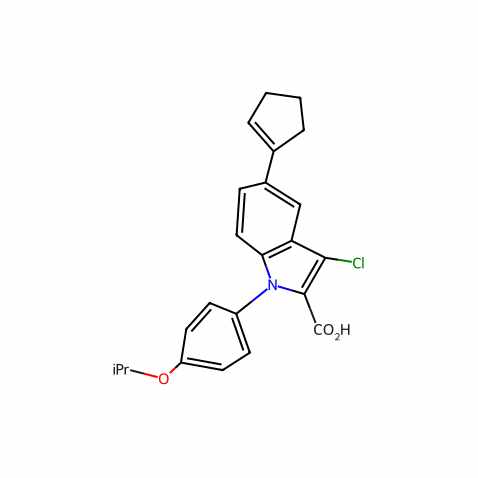 CC(C)Oc1ccc(-n2c(C(=O)O)c(Cl)c3cc(C4=CCCC4)ccc32)cc1